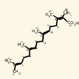 CC(C)=CCC/C(C)=C/CC/C(C)=C/CC/C(C)=C(/C)C(=O)O